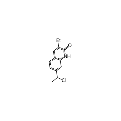 CCc1cc2ccc(C(C)Cl)cc2[nH]c1=O